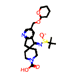 CC(C)(C)[S@@+]([O-])/N=C1\c2cc(COC3CCCCO3)cnc2CC12CCN(C(=O)O)CC2